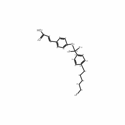 O=C(O)C=Cc1ccc(OC(F)(F)c2ccc(CCCCCF)cc2)cc1